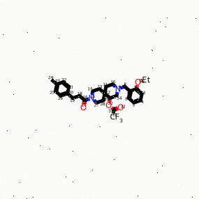 CCOc1ccccc1CN1CCC2(CCN(C(=O)CCc3ccc(C)cc3)CC2)C(OC(=O)C(F)(F)F)C1